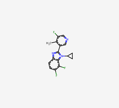 Cc1c(F)cncc1-c1nc2ccc(F)c(F)c2n1C1CC1